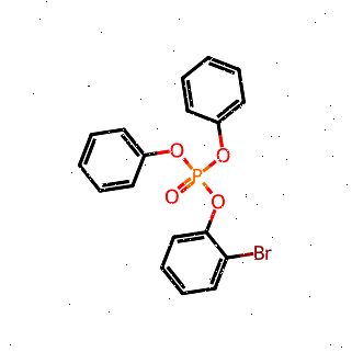 O=P(Oc1ccccc1)(Oc1ccccc1)Oc1ccccc1Br